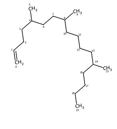 C=CCCC(C)CCC(C)CCCCC(C)CCCC